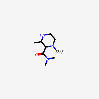 CC1NCCN(C(=O)O)C1C(=O)N(C)C